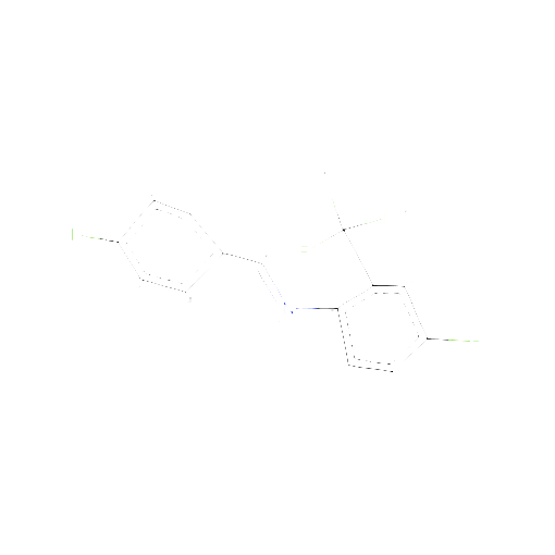 Fc1ccc(C=Nc2ccc(F)cc2C(F)(F)F)cc1